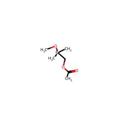 CO[Si](C)(C)COC(C)=O